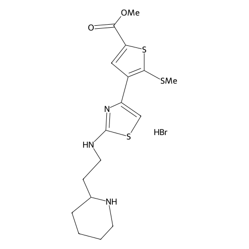 Br.COC(=O)c1cc(-c2csc(NCCC3CCCCN3)n2)c(SC)s1